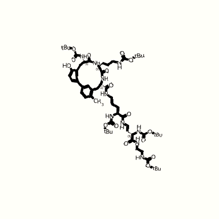 Cc1ccc2cc1C[C@@H](C(=O)NCCCC(NC(=O)OC(C)(C)C)C(=O)NCC[C@H](NC(=O)OC(C)(C)C)C(=O)NCCNC(=O)OC(C)(C)C)NC(=O)[C@H](CCCNC(=O)OC(C)(C)C)NC(=O)[C@@H](NC(=O)OC(C)(C)C)Cc1cc-2ccc1O